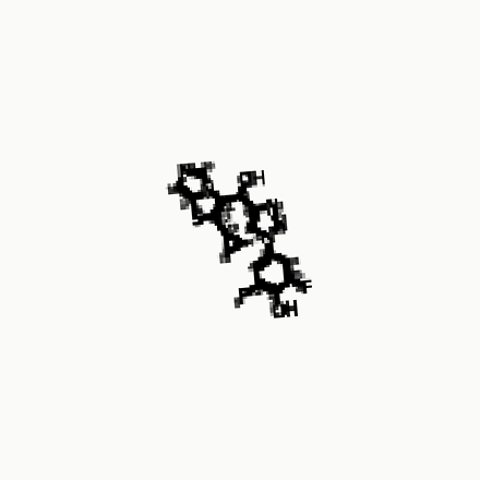 Oc1c(F)cc(-n2cc(C(O)c3c(C4CC4)sc4cncn34)nn2)cc1F